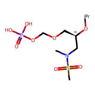 CC(C)O[C@H](COCOP(=O)(O)O)CN(C)S(C)(=O)=O